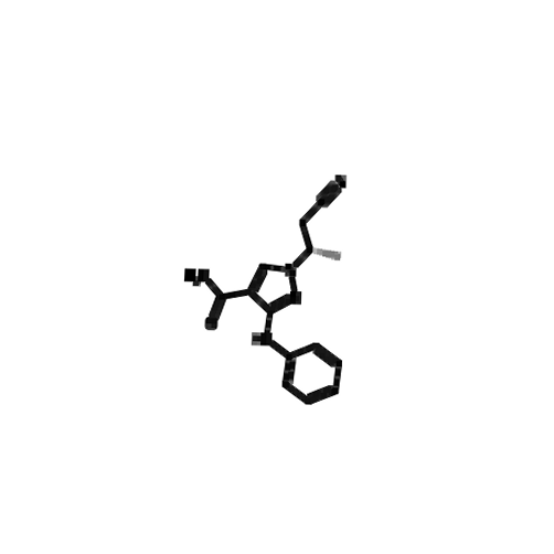 C[C@@H](CC#N)n1cc(C(N)=O)c(Nc2ccccc2)n1